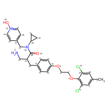 Cc1cc(Cl)c(OCCOc2ccc(CC(CN)C(=O)N(Cc3cc[n+](O)cc3)C3CC3)cc2)c(Cl)c1